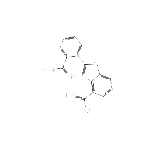 Cl.N=C(N)c1ccccc1-c1cc2c(C(=N)N)cccc2[nH]1